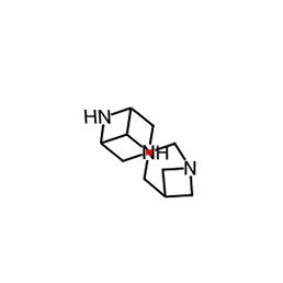 C1NCC2NC1C2N1CC2CN(C2)C1